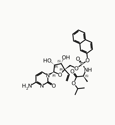 C=C[C@]1(COP(=O)(N[C@@H](C)C(=O)OC(C)C)Oc2ccc3ccccc3c2)O[C@@H](n2ccc(N)nc2=O)[C@H](O)[C@@H]1O